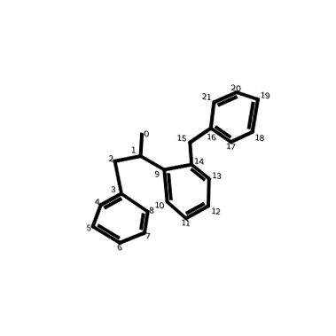 CC(Cc1ccccc1)c1ccccc1Cc1ccccc1